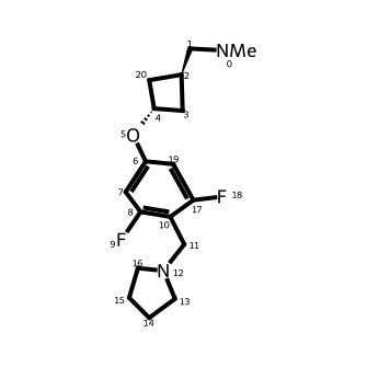 CNC[C@H]1C[C@H](Oc2cc(F)c(CN3CCCC3)c(F)c2)C1